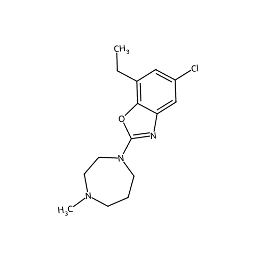 CCc1cc(Cl)cc2nc(N3CCCN(C)CC3)oc12